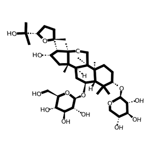 CC(C)(O)[C@@H]1CC[C@](C)([C@H]2[C@@H](O)C[C@@]3(C)[C@@H]4C[C@H](O[C@@H]5O[C@H](CO)[C@@H](O)[C@H](O)[C@H]5O)[C@H]5C(C)(C)[C@@H](O[C@@H]6OC[C@@H](O)[C@H](O)[C@H]6O)CC[C@]5(C)[C@]4(C)CC[C@]23C)O1